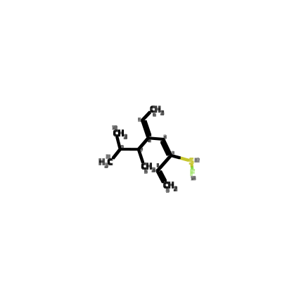 C=C/C(=C\C(=C/C)C(C)C(C)C)SF